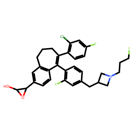 OC1OC1c1ccc2c(c1)CCCC(c1ccc(F)cc1Cl)=C2c1ccc(CC2CN(CCCF)C2)cc1F